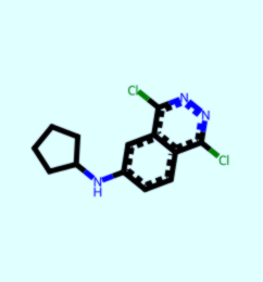 Clc1nnc(Cl)c2cc(NC3CCCC3)ccc12